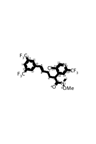 CON(C)C(=O)C(CCC=Cc1cc(C(F)(F)F)cc(C(F)(F)F)c1)c1cc(C(F)(F)F)ncc1Cl